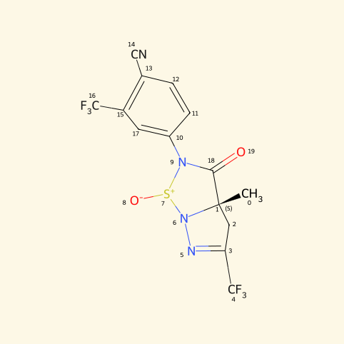 C[C@@]12CC(C(F)(F)F)=NN1[S+]([O-])N(c1ccc(C#N)c(C(F)(F)F)c1)C2=O